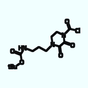 CC(C)(C)OC(=O)NCCCN1CCN(C(=O)Cl)C(=O)C1=O